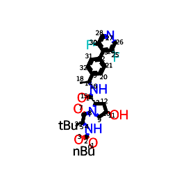 CCCCOC(=O)N[C@H](C(=O)N1C[C@H](O)C[C@H]1C(=O)N[C@@H](C)c1ccc(-c2c(F)cncc2F)cc1)C(C)(C)C